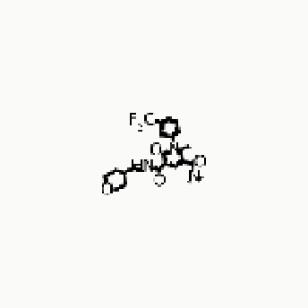 Cc1c(C(=O)N(C)C)cc(C(=O)NCCC2CCOCC2)c(=O)n1-c1cccc(C(F)(F)F)c1